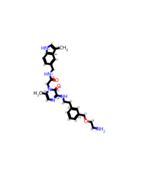 Cc1c[nH]c2ccc(CNC(=O)Cn3c(C)cnc(NCCc4cccc(COCCN)c4)c3=O)cc12